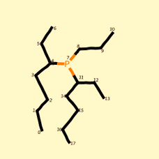 CCCCC(CC)P(CCC)C(CC)CCCC